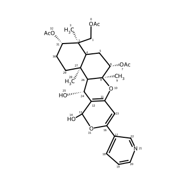 CC(=O)OC[C@@]1(C)C2C[C@H](OC(C)=O)[C@@]3(C)OC4=C(C(O)OC(c5cccnc5)=C4)[C@H](O)C3[C@@]2(C)CC[C@@H]1OC(C)=O